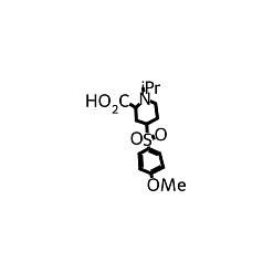 COc1ccc(S(=O)(=O)C2CCN(C(C)C)C(C(=O)O)C2)cc1